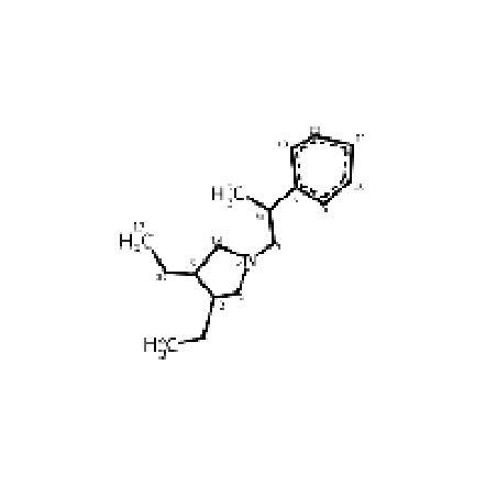 CCC1CN(CC(C)c2ccccc2)CC1CC